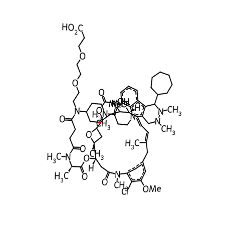 COc1cc2cc(c1Cl)N(C)C(=O)C[C@H](OC(=O)[C@@H](C)N(C)C(=O)CCC(=O)N(CCOCCOCCC(=O)O)C1CCN(C(=O)CCn3c4c(c5ccccc53)C(C3CCCCCC3)N(C)N(C)C4)CC1)[C@@]1(C)CC(C)(O1)[C@@H]1C[C@@](O)(NC(=O)O1)[C@H](OC)/C=C/C=C(\C)C2